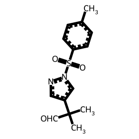 Cc1ccc(S(=O)(=O)n2cc(C(C)(C)C=O)cn2)cc1